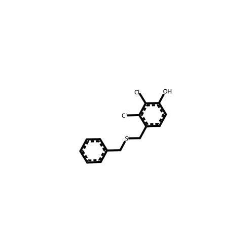 Oc1ccc(CSCc2ccccc2)c(Cl)c1Cl